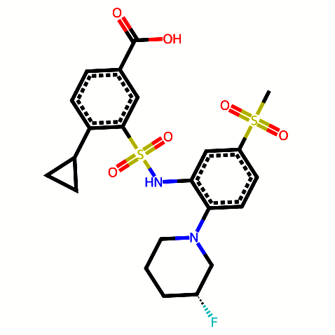 CS(=O)(=O)c1ccc(N2CCC[C@@H](F)C2)c(NS(=O)(=O)c2cc(C(=O)O)ccc2C2CC2)c1